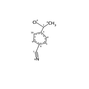 CC(Cl)c1ccc(C#N)cc1